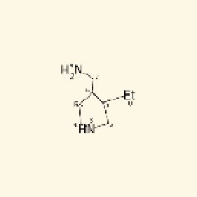 CCC1CNC[CH]C1CN